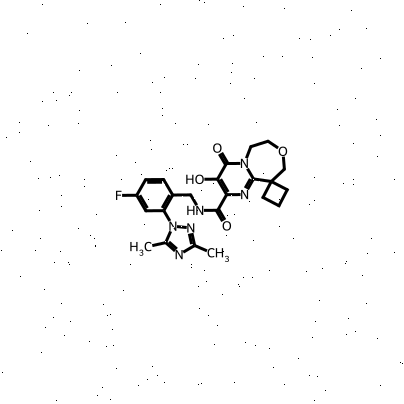 Cc1nc(C)n(-c2cc(F)ccc2CNC(=O)c2nc3n(c(=O)c2O)CCOCC32CCC2)n1